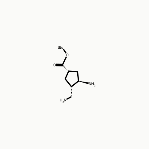 CC(C)(C)OC(=O)[C@H]1C[C@@H](CN)[C@H](N)C1